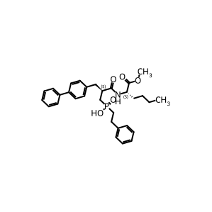 CCCC[C@H](NC(=O)[C@H](Cc1ccc(-c2ccccc2)cc1)CP(=O)(O)CCc1ccccc1)C(=O)OC